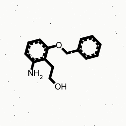 Nc1cccc(OCc2ccccc2)c1CCO